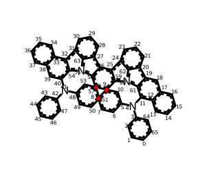 c1ccc(N(c2ccccc2)c2c3ccccc3cc3c4cccc5c6c7c8cccc9c%10c%11ccccc%11cc(N(c%11ccccc%11)c%11ccccc%11)c%10n(c7ccc6n(c23)c45)c89)cc1